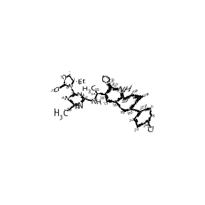 CC[C@H]1COC(=O)N1c1nc(C)nc(N[C@@H](C)c2cc3cc(-c4ccc(Cl)cc4)ccc3[nH]c2=O)n1